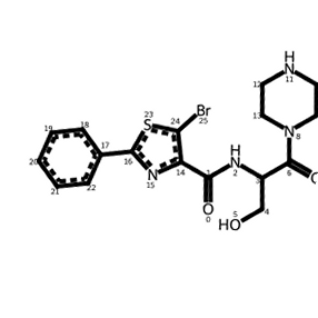 O=C(NC(CO)C(=O)N1CCNCC1)c1nc(-c2ccccc2)sc1Br